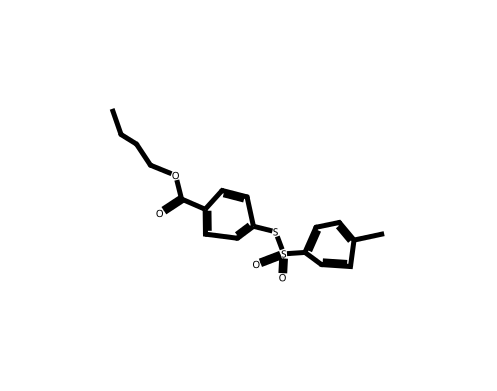 CCCCOC(=O)c1ccc(SS(=O)(=O)c2ccc(C)cc2)cc1